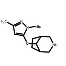 CCCCn1nc(C(F)(F)F)cc1OC1C2CCC1CNC2